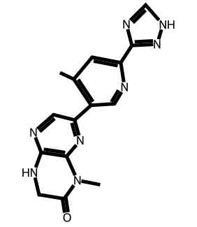 Cc1cc(-c2nc[nH]n2)ncc1-c1cnc2c(n1)N(C)C(=O)CN2